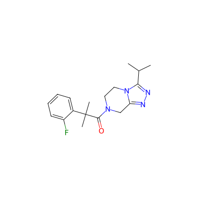 CC(C)c1nnc2n1CCN(C(=O)C(C)(C)c1ccccc1F)C2